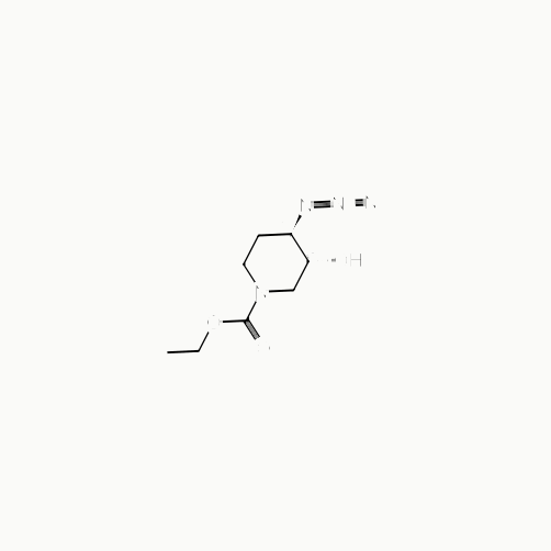 CCOC(=O)N1CC[C@@H](N=[N+]=[N-])[C@H](O)C1